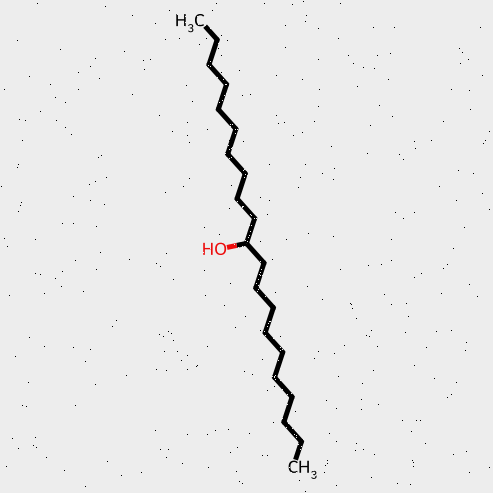 CCCCCCCCCCC(O)CCCCCCCCCC